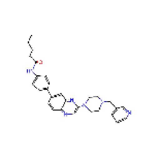 CCCCC(=O)Nc1ccc(-c2ccc3ncc(N4CCN(Cc5cccnc5)CC4)nc3c2)cc1